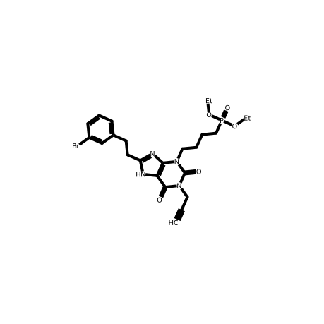 C#CCn1c(=O)c2[nH]c(CCc3cccc(Br)c3)nc2n(CCCCP(=O)(OCC)OCC)c1=O